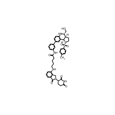 Cc1ccc(S(=O)(=O)N2CC[C@@H]3[C@H](CO)Nc4ccc(-c5cccc(NC(=O)CCCCNc6cccc7c6CN(C6CCC(=O)NC6=O)C7=O)c5)cc4[C@@H]32)cc1